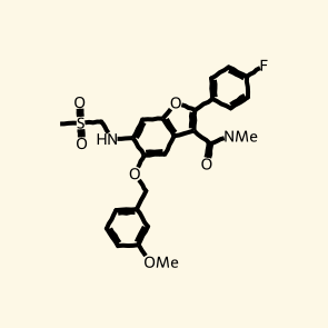 CNC(=O)c1c(-c2ccc(F)cc2)oc2cc(NCS(C)(=O)=O)c(OCc3cccc(OC)c3)cc12